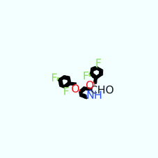 O=CC1(OCc2ccc(F)cc2F)C=C(OCc2ccc(F)cc2F)C=CN1